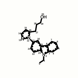 CCn1c2ccccc2c2cc(-n3nccc3CCCO)ccc21